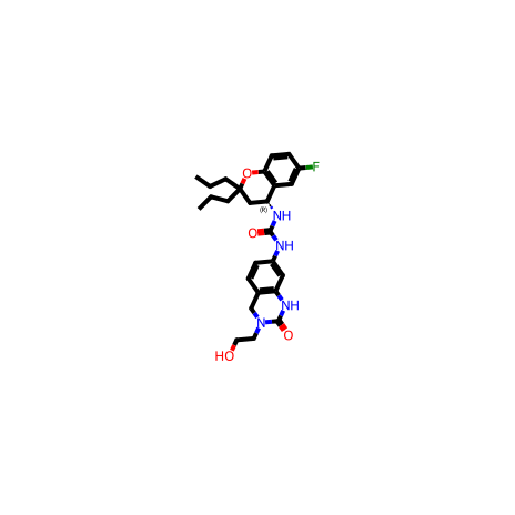 CCCC1(CCC)C[C@@H](NC(=O)Nc2ccc3c(c2)NC(=O)N(CCO)C3)c2cc(F)ccc2O1